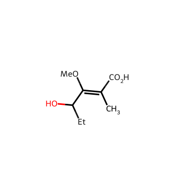 CCC(O)C(OC)=C(C)C(=O)O